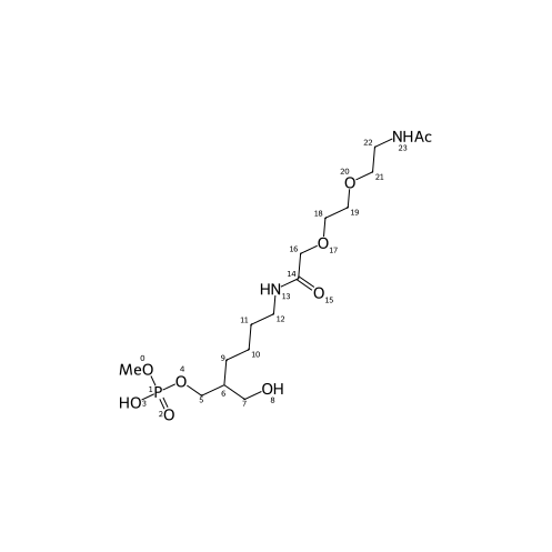 COP(=O)(O)OCC(CO)CCCCNC(=O)COCCOCCNC(C)=O